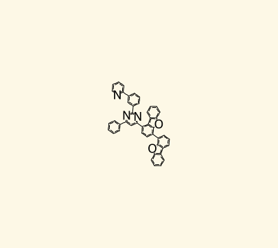 c1ccc(-c2cc(-c3ccc(-c4cccc5c4oc4ccccc45)c4oc5ccccc5c34)nc(-c3cccc(-c4ccccn4)c3)n2)cc1